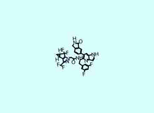 O=C(Cn1nc(C(F)F)c2c1C(F)(F)[C@@H]1C[C@H]21)NC(Cc1cc(F)cc(F)c1)c1nc2cc[nH]c2cc1-c1ccc2c(c1)C(=O)NC2